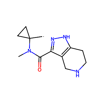 [CH2]C1(N(C)C(=O)c2n[nH]c3c2CNCC3)CC1